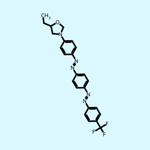 CCC1CN(c2ccc(N=Nc3ccc(N=Nc4ccc(C(F)(F)F)cc4)cc3)cc2)CO1